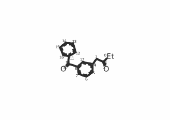 CCC(=O)Cc1cccc(C(=O)c2ccccc2)c1